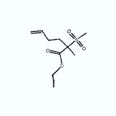 C=CCCC(C)(C(=O)OCC)S(C)(=O)=O